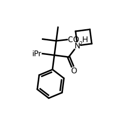 CC(C)C(C(=O)N1CCC1)(c1ccccc1)C(C)(C)C(=O)O